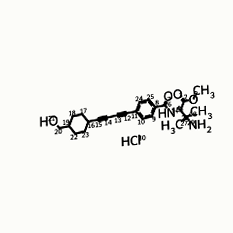 COC(=O)[C@@H](NC(=O)c1ccc(C#CC#CC2CCC(CO)CC2)cc1)C(C)(C)N.Cl